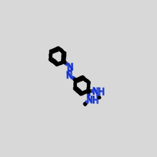 CNC1(NC)C=CC(N=Nc2ccccc2)=CC1